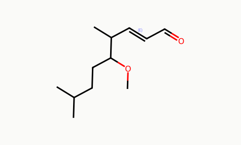 COC(CCC(C)C)C(C)/C=C/C=O